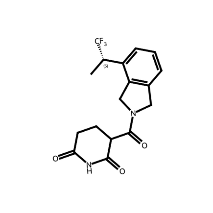 C[C@@H](c1cccc2c1CN(C(=O)C1CCC(=O)NC1=O)C2)C(F)(F)F